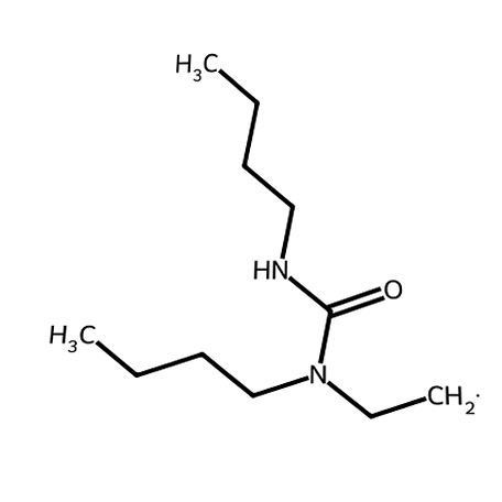 [CH2]CN(CCCC)C(=O)NCCCC